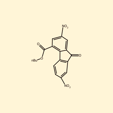 CCCCOC(=O)c1cc([N+](=O)[O-])cc2c1-c1ccc([N+](=O)[O-])cc1C2=O